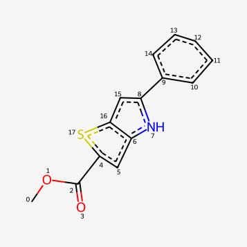 COC(=O)c1cc2[nH]c(-c3ccccc3)cc2s1